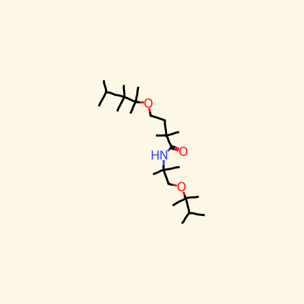 CC(C)C(C)(C)OCC(C)(C)NC(=O)C(C)(C)CCOC(C)(C)C(C)(C)C(C)C